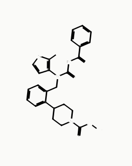 CCOC(=O)c1[nH]ccc1N(Cc1ccccc1C1CCN(C(=O)OC(C)(C)C)CC1)C(=S)NC(=O)c1ccccc1